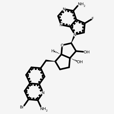 Nc1nc2cc(C[C@@H]3CC[C@]4(O)C(O)[C@H](n5cc(F)c6c(N)ncnc65)O[C@H]34)ccc2cc1Br